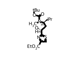 CCOC(=O)c1csc([C@H](O)C[C@H](C(C)C)N(C)C(=O)OC(C)(C)C)n1